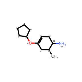 C[C@H]1CC(OC2CCCC2)=CCC1N